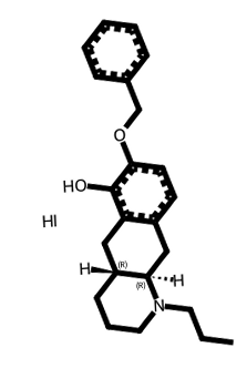 CCCN1CCC[C@@H]2Cc3c(ccc(OCc4ccccc4)c3O)C[C@H]21.I